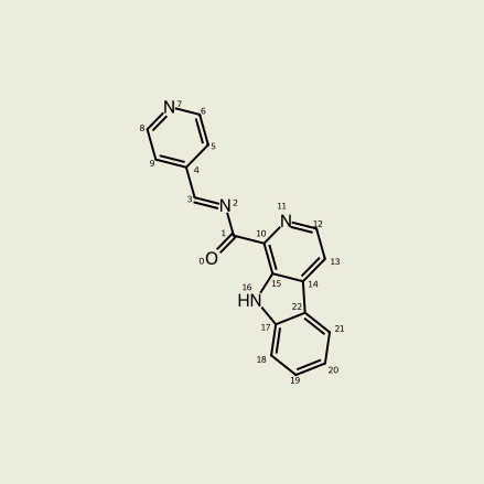 O=C(N=Cc1ccncc1)c1nccc2c1[nH]c1ccccc12